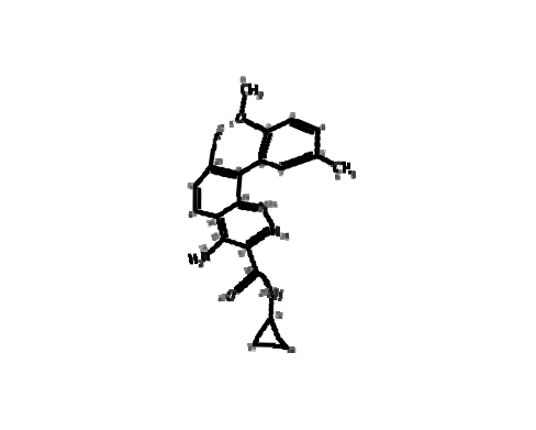 COc1ccc(C)cc1-c1c(F)ccc2c(N)c(C(=O)NC3CC3)nnc12